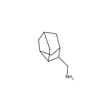 NCC1C2CC3CC(C2)C1C3